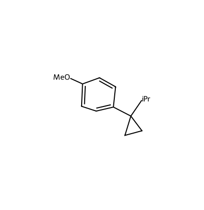 COc1ccc(C2(C(C)C)CC2)cc1